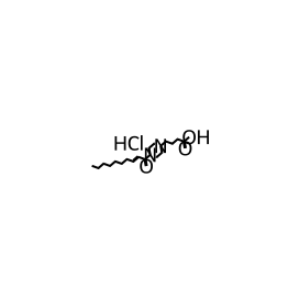 CCCCCCCC=CC(=O)N1CCN(CCCC(=O)O)CC1.Cl